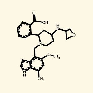 COc1cc(C)c2[nH]ccc2c1CN1CCC(NC2COC2)CC1c1ccccc1C(=O)O